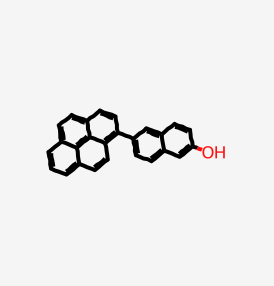 Oc1ccc2cc(-c3ccc4ccc5cccc6ccc3c4c56)ccc2c1